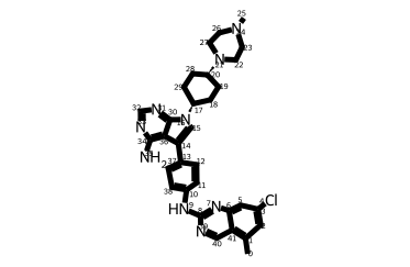 Cc1cc(Cl)cc2nc(Nc3ccc(-c4cn([C@H]5CC[C@@H](N6CCN(C)CC6)CC5)c5ncnc(N)c45)cc3)ncc12